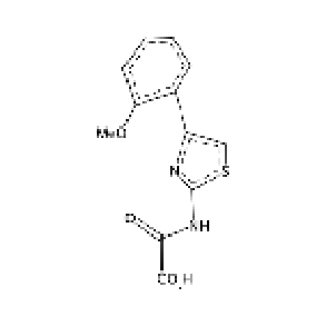 COc1ccccc1-c1csc(NC(=O)C(=O)O)n1